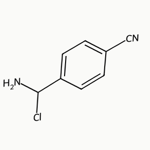 N#Cc1ccc(C(N)Cl)cc1